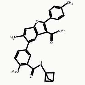 CNC(=O)c1c(-c2ccc(C)cc2)oc2cc(N)c(-c3ccc(OC)c(C(=O)NC45CC(C4)C5)c3)cc12